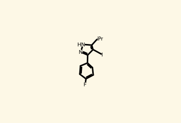 CC(C)c1[nH]nc(-c2ccc(F)cc2)c1I